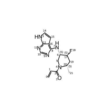 C=CC(=O)N1C[C@H](Nc2ncnc3[nH]ccc23)[C@@H](F)C[C@@H]1C